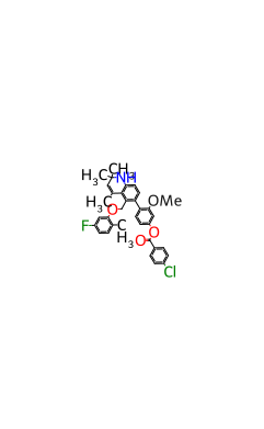 COc1cc(OC(=O)c2ccc(Cl)cc2)ccc1-c1ccc2c(c1COc1cc(F)ccc1C)C(C)=CC(C)(C)N2